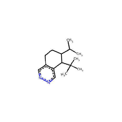 CC(C)C1CCc2cnncc2C1C(C)(C)C